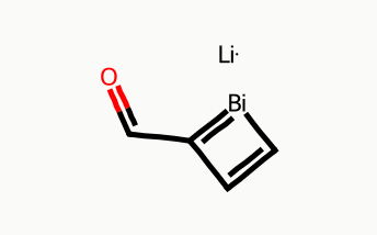 O=C[C]1=[Bi][CH]=C1.[Li]